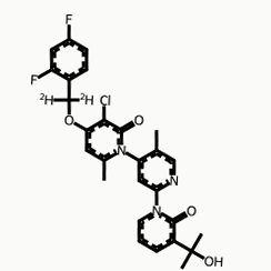 [2H]C([2H])(Oc1cc(C)n(-c2cc(-n3cccc(C(C)(C)O)c3=O)ncc2C)c(=O)c1Cl)c1ccc(F)cc1F